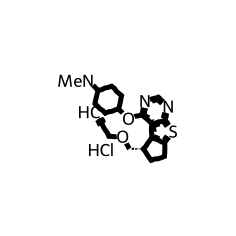 C#CCOC[C@H]1CCc2sc3ncnc(OC4CCC(NC)CC4)c3c21.Cl